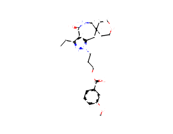 CCc1nn(CCCOC(=O)c2cccc(OC)c2)c2c1C(=O)NCC1(CCOCC1)C2